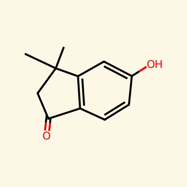 CC1(C)CC(=O)c2ccc(O)cc21